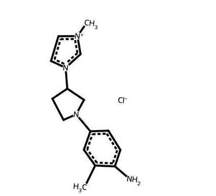 Cc1cc(N2CCC(n3cc[n+](C)c3)C2)ccc1N.[Cl-]